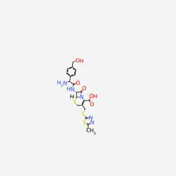 Cc1nnc(SCC2=C(C(=O)O)N3C(=O)[C@@H](NC(=O)C(N)c4ccc(CO)cc4)[C@@H]3SC2)s1